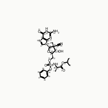 CC(C)OC(=O)[C@@H](C)N[P@](=O)(OC[C@H]1O[C@@H](n2cnc3c(=O)[nH]c(N)nc32)[C@](C)(C#N)[C@@H]1O)Oc1ccccc1